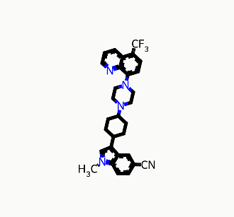 Cn1cc(C2CCC(N3CCN(c4ccc(C(F)(F)F)c5cccnc45)CC3)CC2)c2cc(C#N)ccc21